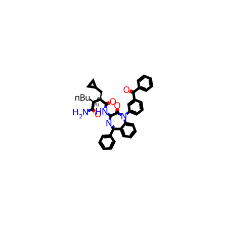 CCCC[C@H](C(N)=O)[C@@H](CC1CC1)C(=O)NC1N=C(c2ccccc2)c2ccccc2N(c2cccc(C(=O)c3ccccc3)c2)C1=O